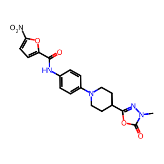 Cn1nc(C2CCN(c3ccc(NC(=O)c4ccc([N+](=O)[O-])o4)cc3)CC2)oc1=O